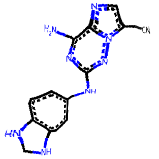 N#Cc1cnc2c(N)nc(Nc3ccc4c(c3)NCN4)nn12